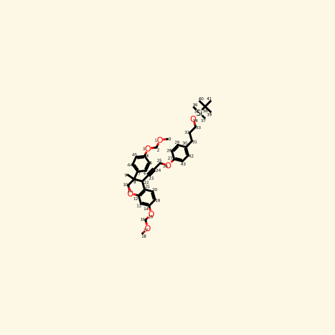 COCOc1ccc(C2(C)COc3cc(OCOC)ccc3C2C#CCOc2ccc(CCCO[Si](C)(C)C(C)(C)C)cc2)cc1